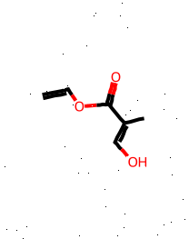 C=COC(=O)C(C)=CO